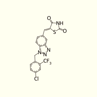 O=C1NC(=O)C(=Cc2ccc3c(c2)nnn3Cc2ccc(Cl)cc2C(F)(F)F)S1